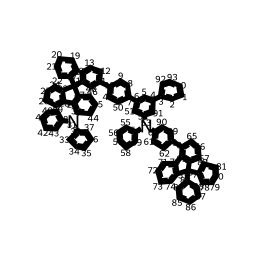 c1ccc(-c2cc(-c3ccc(-c4cccc(C5(c6ccccc6)c6ccccc6-c6c(N(c7ccccc7)c7ccccc7)cccc65)c4)cc3)cc(N(c3ccccc3)c3ccc(-c4cccc5c4-c4ccccc4C5(c4ccccc4)c4ccccc4)cc3)c2)cc1